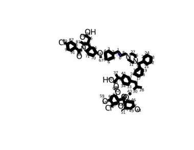 C(=C\c1ccccc1)/CN1CCN(C(c2ccccc2)c2ccccc2)CC1.CC(C)Cc1ccc(C(C)C(=O)O)cc1.COC1=CC(=O)C[C@@H](C)[C@]12Oc1c(Cl)c(OC)cc(OC)c1C2=O.COc1ccc2c(c1)c(CC(=O)O)c(C)n2C(=O)c1ccc(Cl)cc1